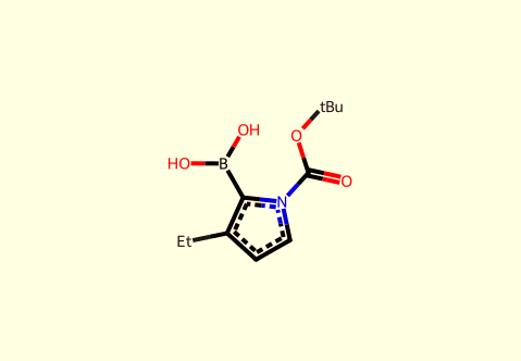 CCc1ccn(C(=O)OC(C)(C)C)c1B(O)O